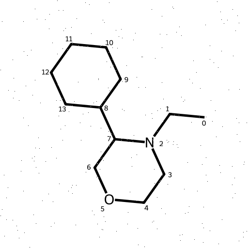 CCN1CCOCC1C1CCCCC1